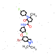 Cc1ccc(C(=O)Nc2ccc(Oc3cc4cnn(C(C)C)c4cc3Br)c(F)c2)c(=O)n1-c1ccc(F)cc1